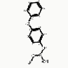 OB(OF)Oc1ccc(Oc2ccccc2)cc1